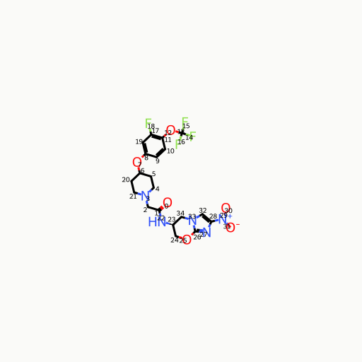 O=C(CN1CCC(Oc2ccc(OC(F)(F)F)c(F)c2)CC1)N[C@@H]1COc2nc([N+](=O)[O-])cn2C1